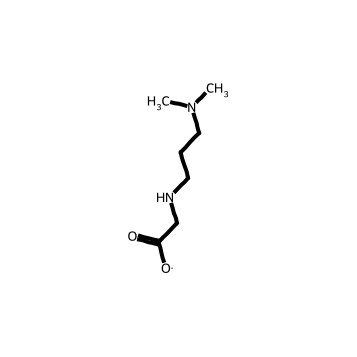 CN(C)CCCNCC([O])=O